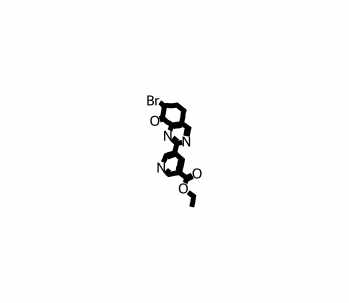 CCOC(=O)c1cncc(-c2ncc3c(n2)C(=O)C(Br)CC3)c1